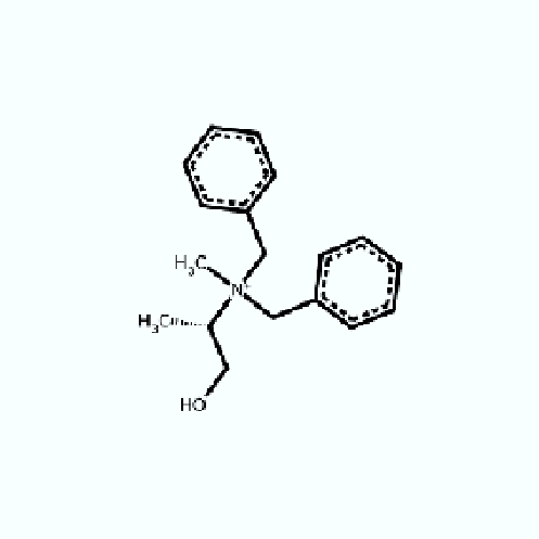 C[C@@H](CO)[N+](C)(Cc1ccccc1)Cc1ccccc1